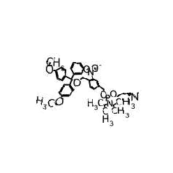 COc1ccc(C(OCc2ccc(COP(OCCC#N)N(C(C)C)C(C)C)cc2[N+](=O)[O-])(c2ccccc2)c2ccc(OC)cc2)cc1